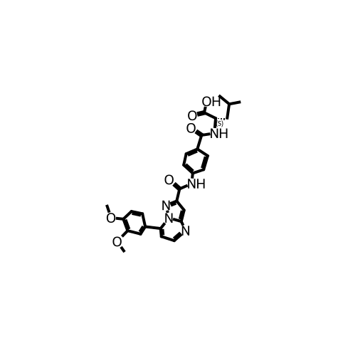 COc1ccc(-c2ccnc3cc(C(=O)Nc4ccc(C(=O)N[C@@H](CC(C)C)C(=O)O)cc4)nn23)cc1OC